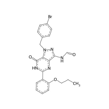 CCCOc1ccccc1-c1nc2c(NC=O)nn(Cc3ccc(Br)cc3)c2c(=O)[nH]1